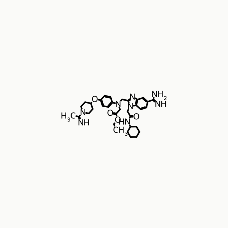 CCOC(=O)CN(Cc1nc2cc(C(=N)N)ccc2n1CC(=O)NC1CCCCC1)c1ccc(OC2CCN(C(C)=N)CC2)cc1